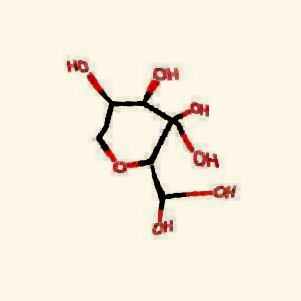 OC(O)[C@H]1O[CH][C@@H](O)[C@@H](O)C1(O)O